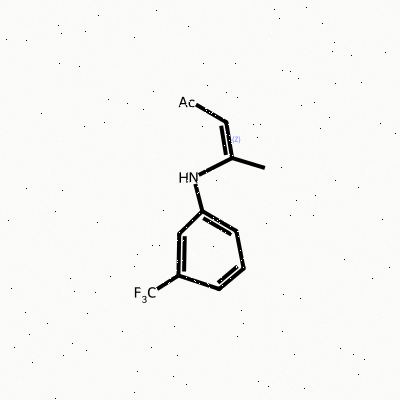 CC(=O)/C=C(/C)Nc1cccc(C(F)(F)F)c1